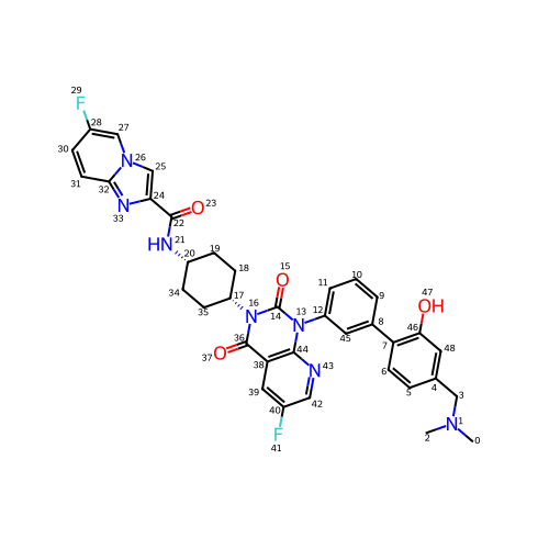 CN(C)Cc1ccc(-c2cccc(-n3c(=O)n([C@H]4CC[C@@H](NC(=O)c5cn6cc(F)ccc6n5)CC4)c(=O)c4cc(F)cnc43)c2)c(O)c1